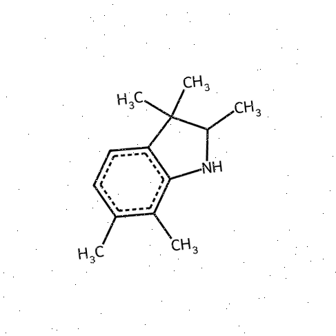 Cc1ccc2c(c1C)NC(C)C2(C)C